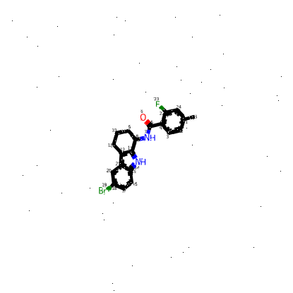 Cc1ccc(C(=O)NC2CCCc3c2[nH]c2ccc(Br)cc32)c(F)c1